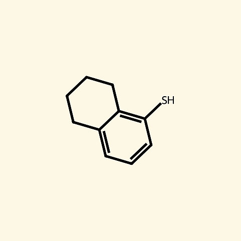 Sc1cccc2c1CCCC2